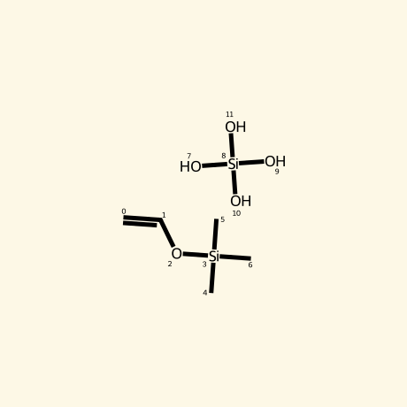 C=CO[Si](C)(C)C.O[Si](O)(O)O